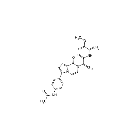 C=C(NC(=O)C(=C)n1ccn2c(-c3ccc(NC(C)=O)cc3)ncc2c1=O)C(=O)OC